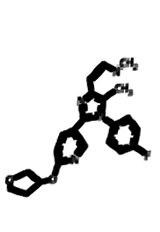 C=N/C=C\c1nc(-c2ccc(OC3CCOC3)nc2)n(-c2ccc(F)cc2)c1C